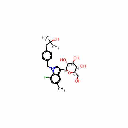 Cc1cc(F)c2c(c1)c([C@@H]1O[C@H](CO)[C@@H](O)[C@H](O)[C@H]1O)cn2Cc1ccc(CC(C)(C)O)cc1